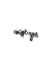 O=C1CC(C2CCN(c3nc(-c4ccncc4)nc4c3ncn4C3CCCCC3=O)C2)CCC1n1cnc2c(NCc3nc4ccccc4s3)nc(Cl)nc21